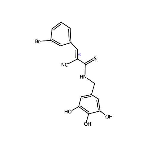 N#C/C(=C\c1cccc(Br)c1)C(=S)NCc1cc(O)c(O)c(O)c1